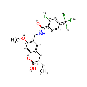 CC[C@@H](Cc1ccc(OC)c(CNC(=O)c2ccc(C(F)(F)F)cc2F)c1)C(=O)O